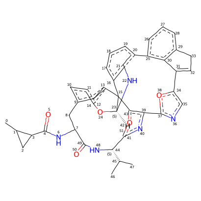 CC1CC1C(=O)NC1Cc2ccc3c(c2)C24c5cccc(c5N[C@H]2O3)-c2cccc3c2C(=CC3)c2cnc(o2)-c2nc(oc24)[C@H](C(C)C)NC1=O